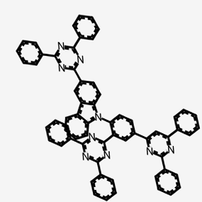 c1ccc(-c2cc(-c3ccc(-n4c5ccccc5c5cc(-c6nc(-c7ccccc7)nc(-c7ccccc7)n6)ccc54)c(-c4nc(-c5ccccc5)nc(-c5ccccc5)n4)c3)nc(-c3ccccc3)n2)cc1